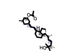 CC(=O)O[C@@H]1C/C(=C\C=C2/CCC[C@]3(C)[C@@H]([C@H](C)/C=C/[C@H](C)C(C)(C)O)CC[C@@H]23)C[C@@H](C)C1